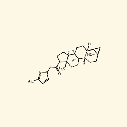 Cc1ccn(CC(=O)[C@H]2CC[C@H]3[C@@H]4CC[C@@H]5C6C[C@@]6(O)CC[C@@H]5[C@H]4CC[C@]23C)n1